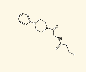 O=C(CCI)NCC(=O)N1CCN(c2ccccc2)CC1